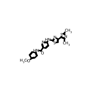 COc1ccc(NC(=O)c2ccc(Nc3nc(-c4sc(C)nc4C)cs3)nc2)cc1